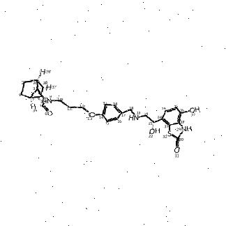 O=CO[C@@H]1[C@H]2CC[C@@H]1[C@@H](NCCCOc1ccc(CNC[C@@H](O)c3ccc(O)c4[nH]c(=O)sc34)cc1)C2